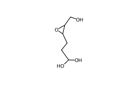 OCC1OC1CCC(O)O